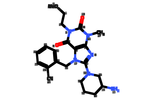 COCCn1c(=O)c2c(nc(N3CCCC(N)C3)n2Cc2ccccc2C#N)n(C)c1=O